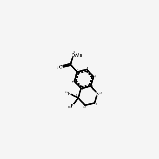 COC(=O)c1ccc2c(c1)C(F)(F)CCS2